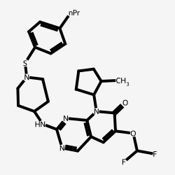 CCCc1ccc(SN2CCC(Nc3ncc4cc(OC(F)F)c(=O)n(C5CCCC5C)c4n3)CC2)cc1